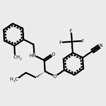 CCC[C@@H](Oc1ccc(C#N)c(C(F)(F)F)c1)C(=O)NCc1ccccc1C